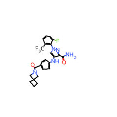 NC(=O)c1nn(-c2c(F)cccc2C(F)(F)F)cc1Nc1ccc(C(=O)N2CC3(CCC3)C2)cc1